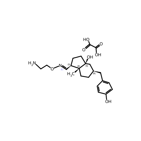 C[C@]12CC[C@H](Cc3ccc(O)cc3)C[C@@]1(O)CC[C@@H]2/C=N/OCCN.O=C(O)C(=O)O